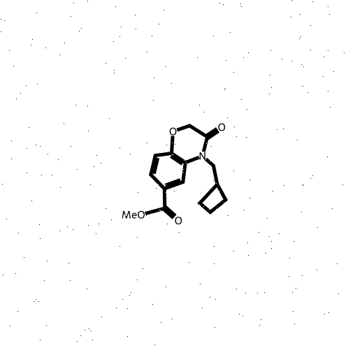 COC(=O)c1ccc2c(c1)N(CC1CCC1)C(=O)CO2